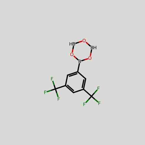 FC(F)(F)c1cc(B2OBOBO2)cc(C(F)(F)F)c1